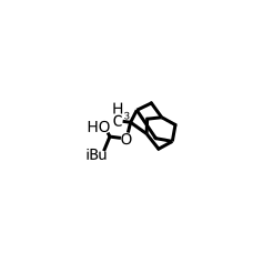 CCC(C)C(O)OC1(C)C2CC3CC(C2)CC1C3